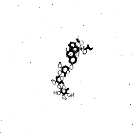 C/C=C(\C)C(=O)O[C@@H]1C[C@H]2[C@@H](CC=C3C[C@@H](O[C@H]4C[C@@H](OC)[C@H](O[C@H]5C[C@@H](OC)[C@H](O[C@@H]6OC(C)[C@@H](O)[C@@H](OC)C6O)C(C)O5)C(C)O4)CC[C@@]32C)[C@@]2(O)CC[C@H](C(C)=O)[C@@]12C